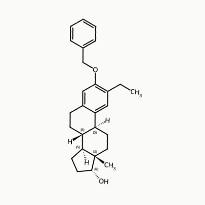 CCc1cc2c(cc1OCc1ccccc1)CC[C@@H]1[C@@H]2CC[C@]2(C)[C@H](O)CC[C@@H]12